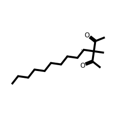 CCCCCCCCC[CH]C(C)(C(C)=O)C(C)=O